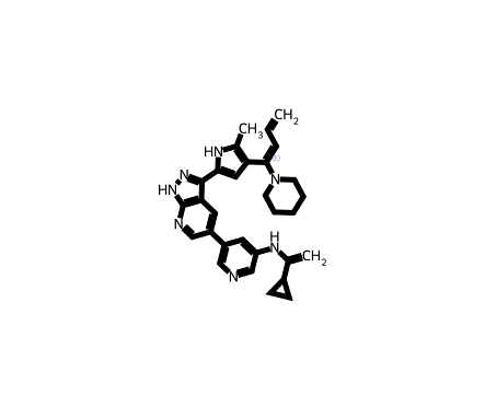 C=C/C=C(\c1cc(-c2n[nH]c3ncc(-c4cncc(NC(=C)C5CC5)c4)cc23)[nH]c1C)N1CCCCC1